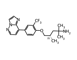 C[C@H](COc1ccc(-c2ccnn3ccnc23)cc1C(F)(F)F)CC(C)(C)N